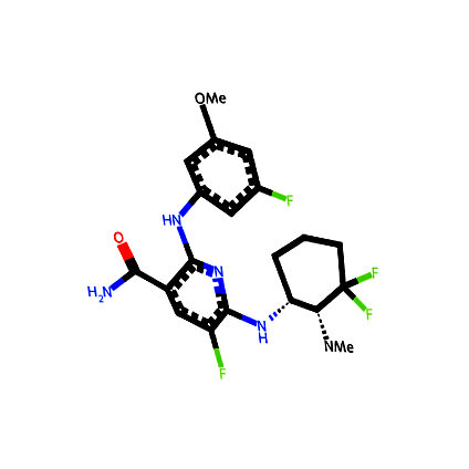 CN[C@@H]1[C@H](Nc2nc(Nc3cc(F)cc(OC)c3)c(C(N)=O)cc2F)CCCC1(F)F